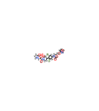 O=C([C@@H](O)CN1CCC[C@H]1O)N1CC=C(c2c(F)cc(N3C[C@H](COc4ccon4)OC3=O)cc2F)CC1